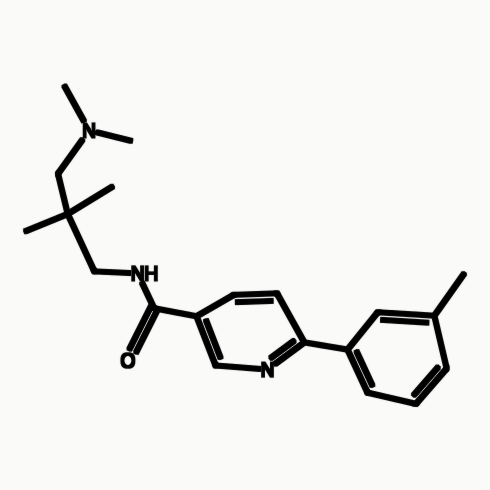 Cc1cccc(-c2ccc(C(=O)NCC(C)(C)CN(C)C)cn2)c1